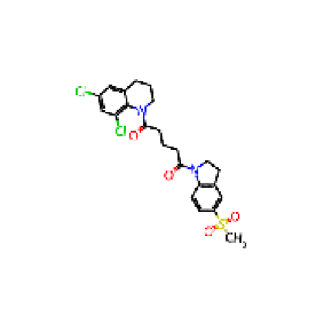 CS(=O)(=O)c1ccc2c(c1)CCN2C(=O)CCCC(=O)N1CCCc2cc(Cl)cc(Cl)c21